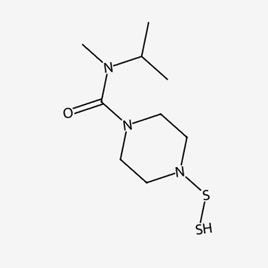 CC(C)N(C)C(=O)N1CCN(SS)CC1